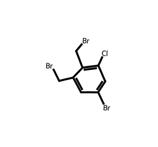 Clc1cc(Br)cc(CBr)c1CBr